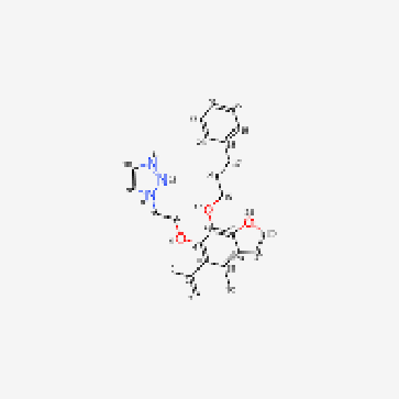 C=C(C)c1c(OCCn2ccnn2)c(OCCCc2ccccc2)c2occc2c1C